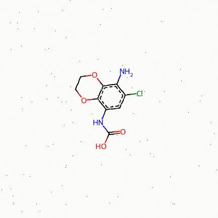 Nc1c(Cl)cc(NC(=O)O)c2c1OCCO2